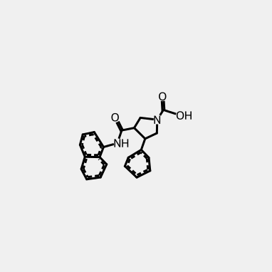 O=C(Nc1cccc2ccccc12)C1CN(C(=O)O)CC1c1ccccc1